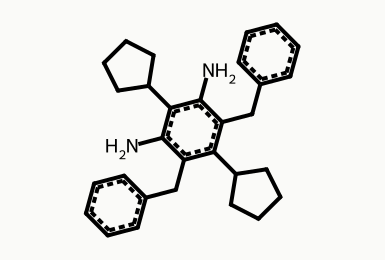 Nc1c(Cc2ccccc2)c(C2CCCC2)c(Cc2ccccc2)c(N)c1C1CCCC1